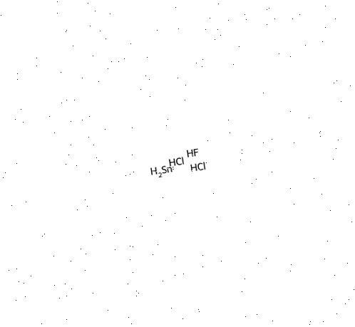 Cl.Cl.F.[SnH2]